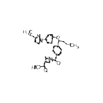 CCCC(Oc1ccc(-n2ccc(CC)n2)cc1)c1ccc(C(=O)NCCC(=O)O)cc1